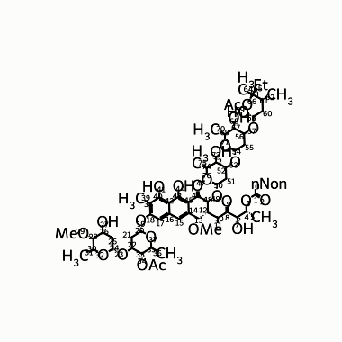 CCCCCCCCCC(=O)O[C@H](C)[C@H](O)C(=O)[C@@H](OC)[C@@H]1Cc2cc3cc(O[C@H]4CC(O[C@H]5CC(O)[C@@H](OC)C(C)O5)[C@@H](OC(C)=O)C(C)O4)c(C)c(O)c3c(O)c2C(=O)[C@H]1O[C@H]1CC(O[C@H]2CC(O[C@H](O)C[C@H](C)C(C)(CC)OC(C)=O)[C@H](O)C(C)O2)[C@H](O)C(C)O1